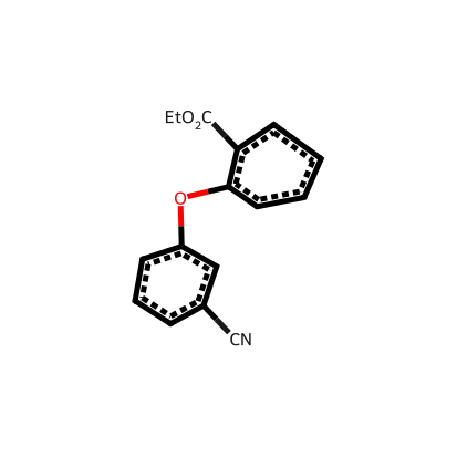 CCOC(=O)c1ccccc1Oc1cccc(C#N)c1